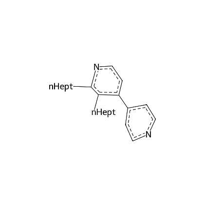 CCCCCCCc1nccc(-c2ccncc2)c1CCCCCCC